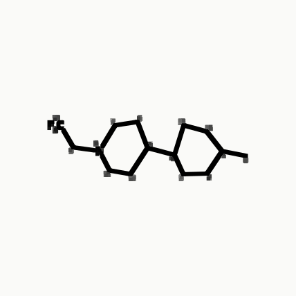 CC1CCC(C2CCN(CC(F)(F)F)CC2)CC1